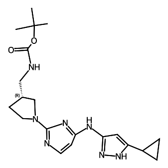 CC(C)(C)OC(=O)NC[C@H]1CCN(c2nccc(Nc3cc(C4CC4)[nH]n3)n2)C1